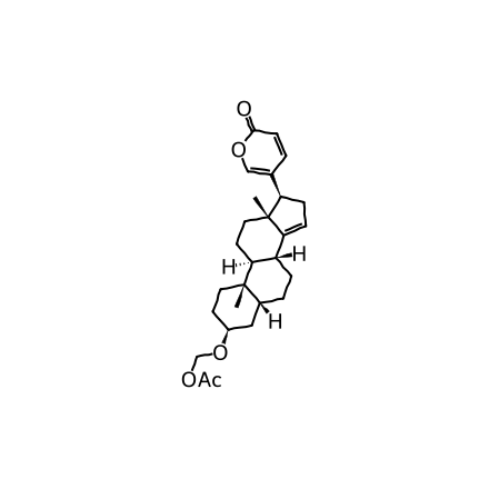 CC(=O)OCO[C@H]1CC[C@@]2(C)[C@H](CC[C@H]3C4=CC[C@H](c5ccc(=O)oc5)[C@@]4(C)CC[C@@H]32)C1